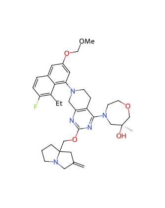 C=C1CN2CCCC2(COc2nc3c(c(N4CCOC[C@@](C)(O)C4)n2)CCN(c2cc(OCOC)cc4ccc(F)c(CC)c24)C3)C1